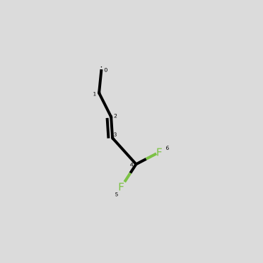 [CH2]C/C=C/C(F)F